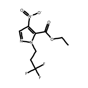 CCOC(=O)c1c([N+](=O)[O-])cnn1CCC(F)(F)F